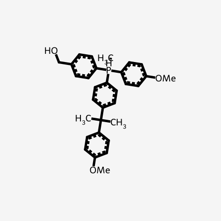 COc1ccc(C(C)(C)c2ccc([PH](C)(c3ccc(CO)cc3)c3ccc(OC)cc3)cc2)cc1